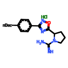 CCCCCCCCCCc1ccc(-c2noc(C3CCCN3C(=N)N)n2)cc1.Cl